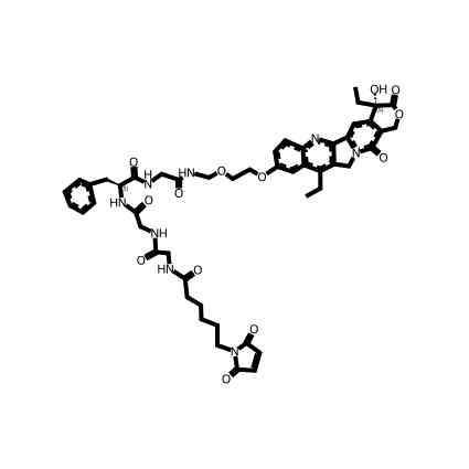 CCc1c2c(nc3ccc(OCCOCNC(=O)CNC(=O)[C@H](Cc4ccccc4)NC(=O)CNC(=O)CNC(=O)CCCCCN4C(=O)C=CC4=O)cc13)-c1cc3c(c(=O)n1C2)COC(=O)[C@]3(O)CC